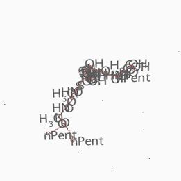 CCCCC/C=C\C/C=C\CCCCCCCCC1(CCCCCCCC/C=C\C/C=C\CCCCC)OCC(CCN(C)CCCCCCNC(=O)CCCOc2ccc(/C(C)=N/NC(=O)CCSSCCCC(=O)N3C[C@H](OP(=O)(O)OC[C@@H]4C[C@@H](O)CN4C(=O)CCCCCNC(=O)CCCCCNC(=O)[C@H](CCCCC)NC(=O)CCCCOC4OC(CO)[C@H](O)[C@H](O)[C@@H]4C)C[C@H]3COP(=O)(S)OO)cc2)O1